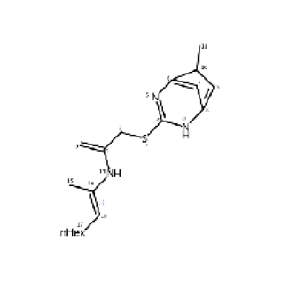 C=C(CSC1=NC2=CC(=CC2C)N1)N/C(C)=C/CCCCCC